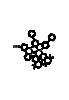 CCCCc1ccc(N2c3cc(-c4ccccc4)cc4c3B(c3c2oc2cc5c(cc32)C(C)(C)CCC5(C)C)N(c2ccc3c(c2)C(C)(C)CCC3(C)C)c2ccc(-c3ccccc3)cc2-4)c(-c2ccccc2)c1